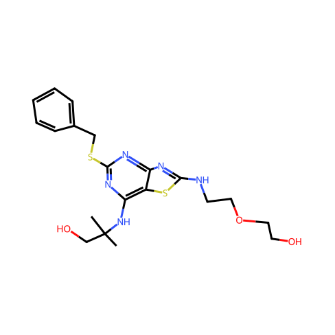 CC(C)(CO)Nc1nc(SCc2ccccc2)nc2nc(NCCOCCO)sc12